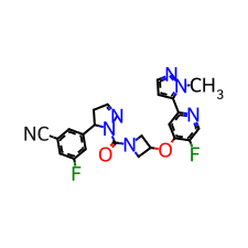 Cn1nccc1-c1cc(OC2CN(C(=O)N3N=CCC3c3cc(F)cc(C#N)c3)C2)c(F)cn1